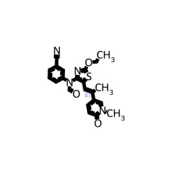 CCOc1nc(N(C=O)c2cccc(C#N)c2)c(/C=C(\C)c2ccc(=O)n(C)c2)s1